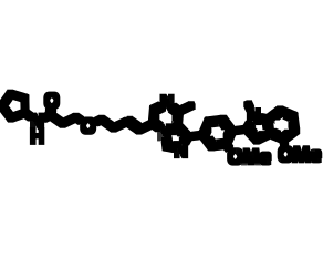 COc1cc(-c2ncn3c(/C=C/CCOCCC(=O)NC4CCCC4)cnc(C)c23)ccc1-c1cc2c(OC)cccc2n1C